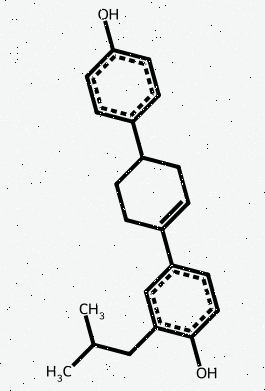 CC(C)Cc1cc(C2=CCC(c3ccc(O)cc3)CC2)ccc1O